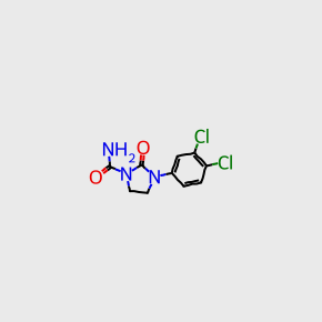 NC(=O)N1CCN(c2ccc(Cl)c(Cl)c2)C1=O